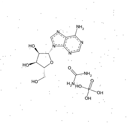 NC(N)=O.Nc1ncnc2c1ncn2[C@@H]1O[C@H](CO)[C@@H](O)[C@H]1O.O=P(O)(O)O